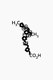 Cc1ccc(S(=O)(=O)n2ccc3c(S(C)(=O)=O)c(Oc4cccc(-c5nc(Cc6cccc(CCC(=O)O)c6)cs5)c4)c(F)cc32)cc1